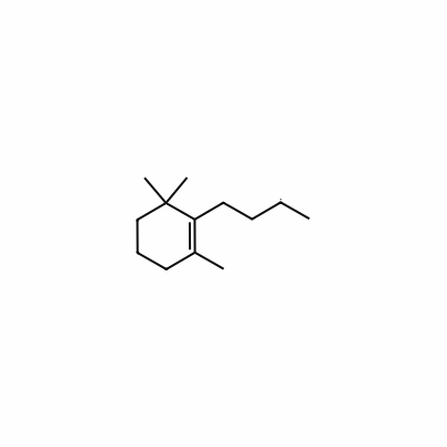 C[CH]CCC1=C(C)CCCC1(C)C